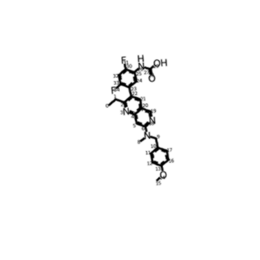 CCc1nc2cc(N(C)Cc3ccc(OC)cc3)ncc2cc1-c1cc(NC(=O)O)c(F)cc1F